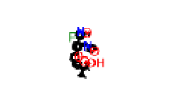 COc1cc(-c2ccc(C3CCc4ccc(C(C5CC5)[C@H](C)C(=O)O)cc4O3)cc2CN2CC3CC2CO3)c(F)cn1